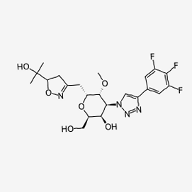 CO[C@@H]1[C@@H](n2cc(-c3cc(F)c(F)c(F)c3)nn2)[C@@H](O)[C@@H](CO)O[C@@H]1CC1=NOC(C(C)(C)O)C1